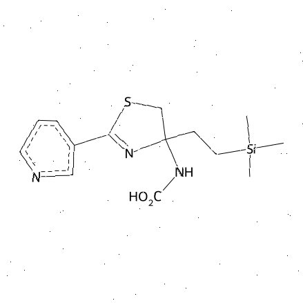 C[Si](C)(C)CCC1(NC(=O)O)CSC(c2cccnc2)=N1